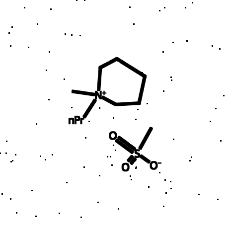 CCC[N+]1(C)CCCCC1.CS(=O)(=O)[O-]